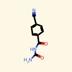 N#Cc1ccc(C(=O)NC(N)=O)cc1